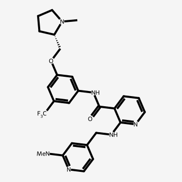 CNc1cc(CNc2ncccc2C(=O)Nc2cc(OC[C@@H]3CCCN3C)cc(C(F)(F)F)c2)ccn1